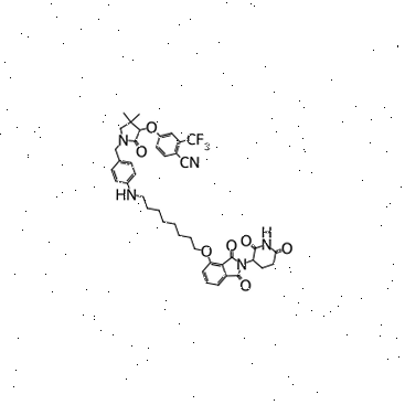 CC1(C)CN(Cc2ccc(NCCCCCCCCOc3cccc4c3C(=O)N(C3CCC(=O)NC3=O)C4=O)cc2)C(=O)C1Oc1ccc(C#N)c(C(F)(F)F)c1